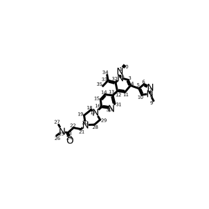 C=NN1C=C(c2cnn(C)c2)C=C(c2ccc(N3CCN(CCC(=O)N(C)C)CC3)nc2)C1=C(C)C